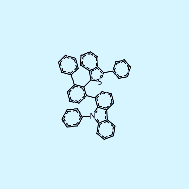 c1ccc(-c2cccc(-c3cccc4c5ccccc5n(-c5ccccc5)c34)c2-c2sc(-c3ccccc3)c3ccccc23)cc1